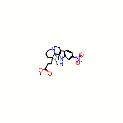 CC[C@]1(CCC(=O)OC)CCCN2CCc3c([nH]c4cc([N+](=O)[O-])ccc34)[C@@H]21